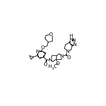 COC12CN(C(=O)c3cc(OCC4CCOCC4)nc(C4CC4)c3)CC1CN(C(=O)N1CCc3[nH]nnc3C1)C2